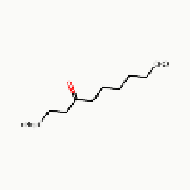 CCCCCCCCCC(=O)CCCCCC=O